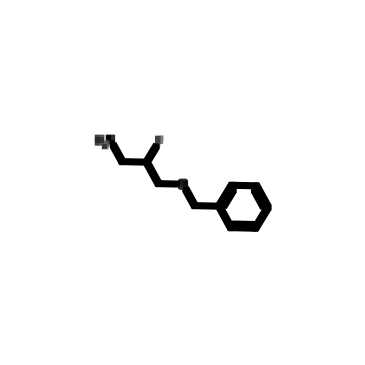 NCC(F)COCc1ccccc1